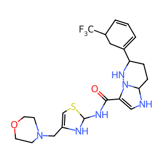 O=C(NC1NC(CN2CCOCC2)=CS1)C1=CNC2CCC(C3=CC=CC(C(F)(F)F)C3)NN12